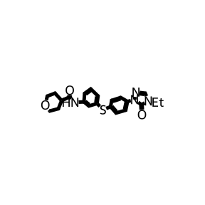 CCn1cnn(-c2ccc(Sc3cccc(NC(=O)C4CCOCC4)c3)cc2)c1=O